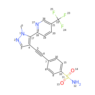 Cn1ncc(C#Cc2ccc(S(N)(=O)=O)cc2)c1-c1ccc(C(F)(F)F)cn1